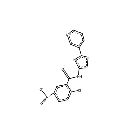 O=C(Nc1nc(-c2cccnc2)cs1)c1cc([N+](=O)[O-])ccc1Cl